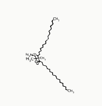 CCCCCCCCCCCCCCCCCC(=O)C(C)(C(=O)CCCCCCCCCCCCCCCCC)C(C)(O)CN